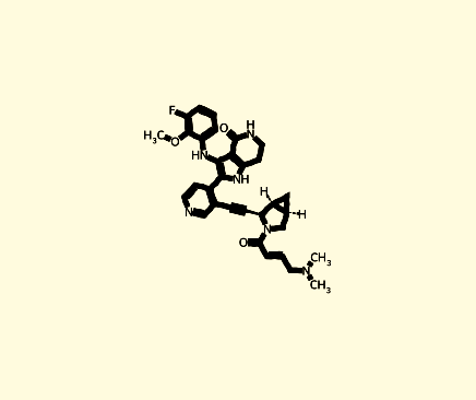 COc1c(F)cccc1Nc1c(-c2ccncc2C#C[C@H]2[C@H]3C[C@H]3CN2C(=O)/C=C/CN(C)C)[nH]c2c1C(=O)NCC2